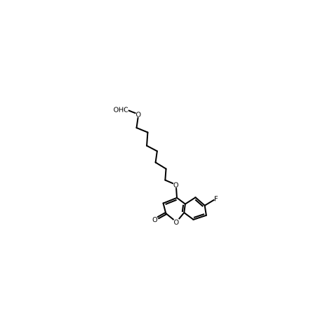 O=COCCCCCCCOc1cc(=O)oc2ccc(F)cc12